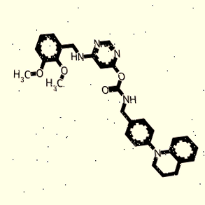 COc1cccc(CNc2cc(OC(=O)NCc3ccc(N4CCCc5ccccc54)cc3)ncn2)c1OC